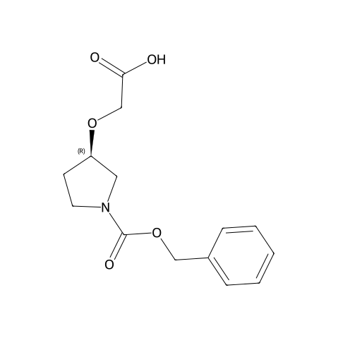 O=C(O)CO[C@@H]1CCN(C(=O)OCc2ccccc2)C1